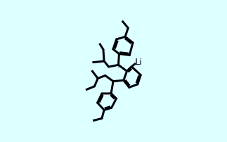 [Li][c]1cccc(C(CC(C)CC)c2ccc(CC)cc2)c1[C](CC(C)CC)c1ccc(CC)cc1